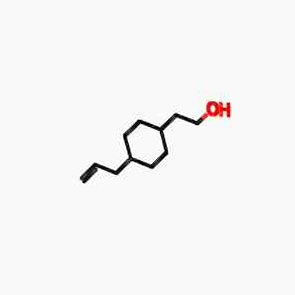 C=CCC1CCC(CCO)CC1